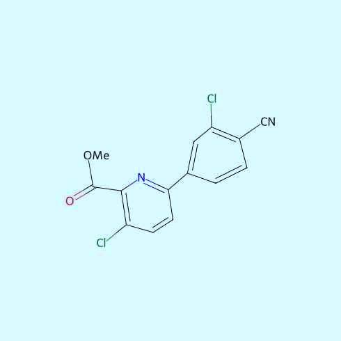 COC(=O)c1nc(-c2ccc(C#N)c(Cl)c2)ccc1Cl